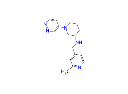 Cc1cc(CN[C@H]2CCCN(c3ccnnc3)C2)ccn1